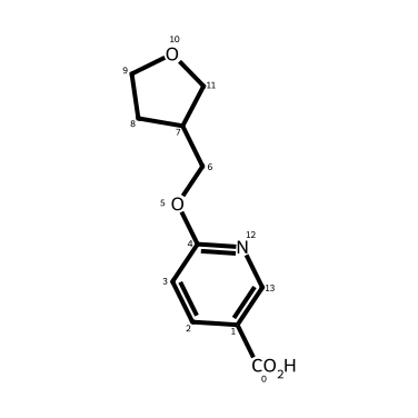 O=C(O)c1ccc(OCC2CCOC2)nc1